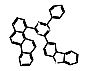 C1=CC2Oc3ccccc3C2C=C1c1nc(-c2ccccc2)nc(-c2cccc3ccc4c5ccccc5ccc4c23)n1